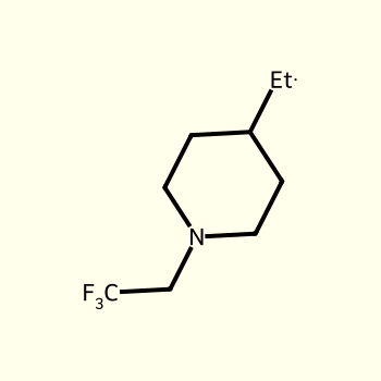 C[CH]C1CCN(CC(F)(F)F)CC1